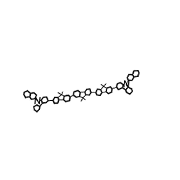 CC1(C)c2cc(-c3ccc4c(c3)C(C)(C)c3cc(-c5ccc6c(c5)c5ccccc5n6-c5ccc6ccccc6c5)ccc3-4)ccc2-c2ccc(-c3ccc4c(c3)C(C)(C)c3cc(-c5ccc6c(c5)c5ccccc5n6-c5ccc6ccccc6c5)ccc3-4)cc21